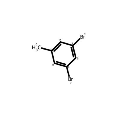 Cc1[c]c(Br)cc(Br)c1